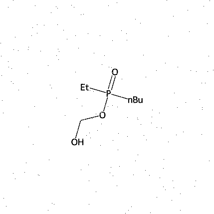 CCCCP(=O)(CC)OCO